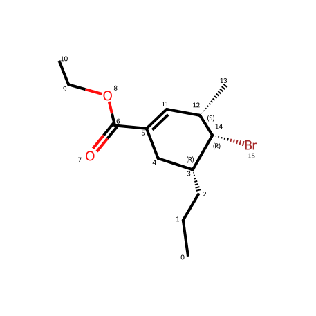 CCC[C@@H]1CC(C(=O)OCC)=C[C@H](C)[C@@H]1Br